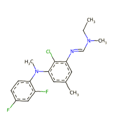 CCN(C)C=Nc1cc(C)cc(N(C)c2ccc(F)cc2F)c1Cl